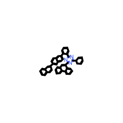 C1=CCC(c2nc(-c3ccccc3-c3ccc4cc(-c5ccc6ccccc6c5)ccc4c3)nc(-c3cc4ccccc4c4ccccc34)n2)C=C1